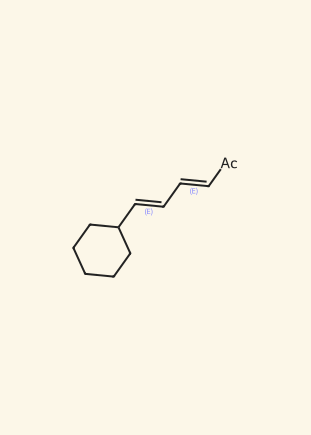 CC(=O)/C=C/C=C/C1CCCCC1